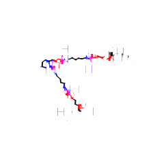 C=C(C)C(=O)CCCOC(=O)NCCCCCCNC(=O)N1CCCCC1CCOC(=O)NCCCCCCNC(=O)OCCOC(=O)C(=C)C